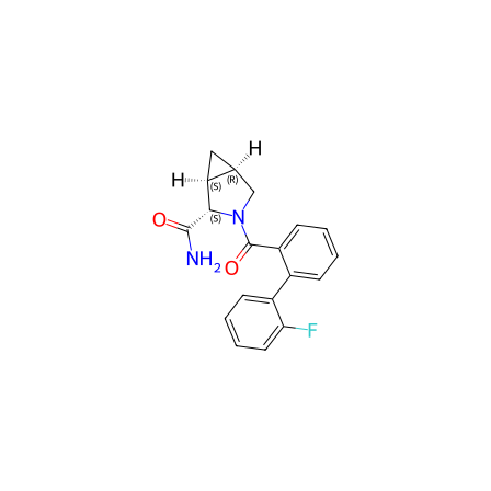 NC(=O)[C@@H]1[C@H]2C[C@H]2CN1C(=O)c1ccccc1-c1ccccc1F